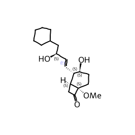 CO[C@@]12CC[C@H](O)[C@@H](/C=C/[C@@H](O)CC3CCCCC3)[C@@H]1CC2=O